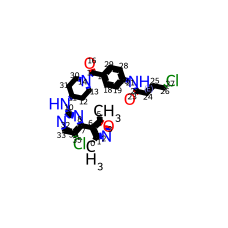 Cc1noc(C)c1-c1nc(NC2CCN(C(=O)c3ccc(NC(=O)/C=C/CCl)cc3)CC2)ncc1Cl